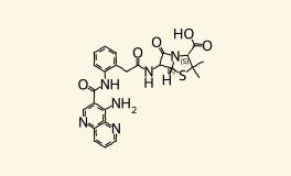 CC1(C)S[C@@H]2C(NC(=O)Cc3ccccc3NC(=O)c3cnc4cccnc4c3N)C(=O)N2[C@H]1C(=O)O